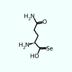 NC(=O)CC[C@H](N)C(O)=[Se]